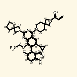 C=CC(=O)N1CC2(CCN(c3nc(N4CC5(CCCO5)C4)nc4c(OCC(F)(F)F)c(-c5c(C)ccc6[nH]ncc56)c(C5CC5)cc34)CC2)C1